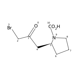 O=C(CBr)C[C@@H]1CCCN1C(=O)O